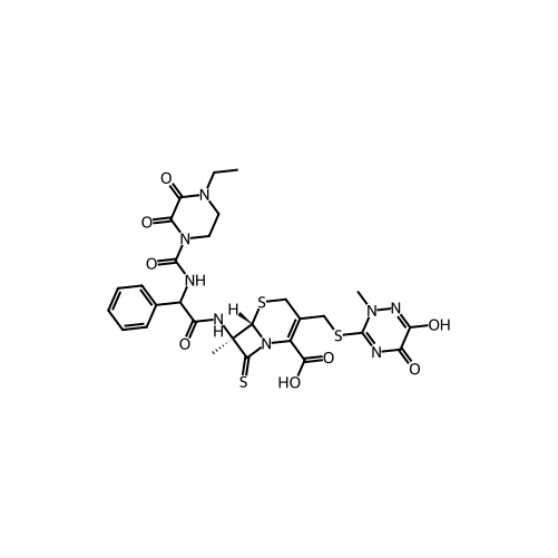 CCN1CCN(C(=O)NC(C(=O)N[C@]2(C)C(=S)N3C(C(=O)O)=C(CSc4nc(=O)c(O)nn4C)CS[C@H]32)c2ccccc2)C(=O)C1=O